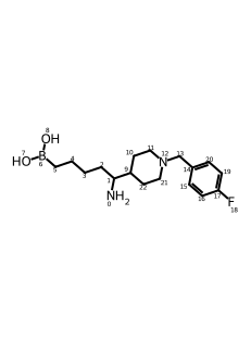 NC(CCCCB(O)O)C1CCN(Cc2ccc(F)cc2)CC1